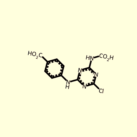 O=C(O)Nc1nc(Cl)nc(Nc2ccc(C(=O)O)cc2)n1